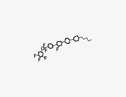 CCCCCc1ccc(-c2ccc(-c3ccc(-c4ccc(C(F)(F)Oc5cc(F)c(F)c(F)c5)cc4)c(F)c3)cc2)cc1